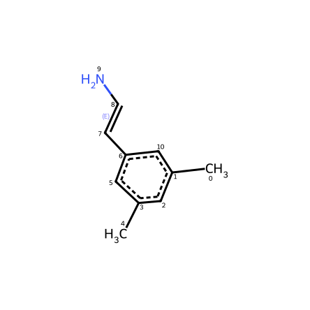 Cc1cc(C)cc(/C=C/N)c1